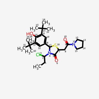 CCC(Cl)N1C(=O)C(CC(=O)N2CCCC2)SC1c1cc(C(C)(C)C)c(O)c(C(C)(C)C)c1